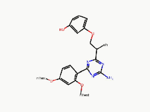 CCCCCOc1ccc(-c2nc(N)nc(C(CCC)COc3cccc(O)c3)n2)c(OCCCCC)c1